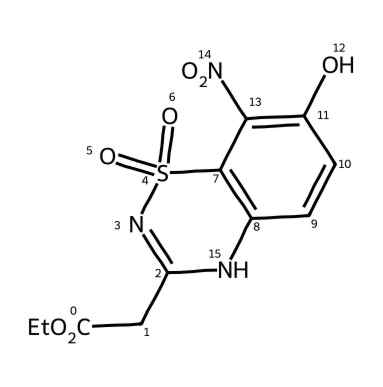 CCOC(=O)CC1=NS(=O)(=O)c2c(ccc(O)c2[N+](=O)[O-])N1